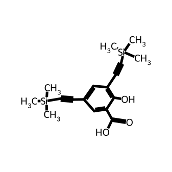 C[Si](C)(C)C#Cc1cc(C#C[Si](C)(C)C)c(O)c(C(=O)O)c1